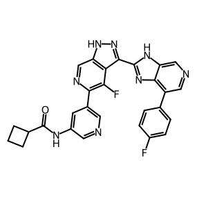 O=C(Nc1cncc(-c2ncc3[nH]nc(-c4nc5c(-c6ccc(F)cc6)cncc5[nH]4)c3c2F)c1)C1CCC1